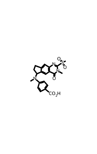 CN(c1ccc(C(=O)O)cc1)C1CCc2cc3nc(S(C)(=O)=O)n(C)c(=O)c3cc21